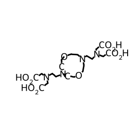 O=C(O)CN(CCN1CCOCCN(CCN(CC(=O)O)CC(=O)O)CCOCC1)CC(=O)O